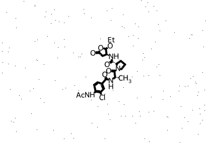 CCOC1OC(=O)C[C@@H]1NC(=O)[C@@H]1CCCN1C(=O)[C@H](C)NC(=O)c1ccc(NC(C)=O)c(Cl)c1